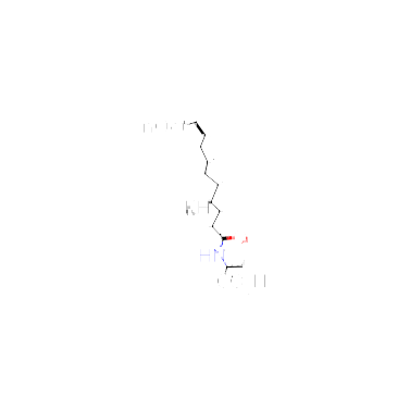 CCCCCCCC/C=C\CCCCCCCC(=O)NC(C)C(=O)O.[KH]